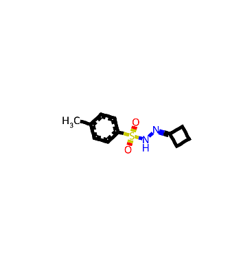 Cc1ccc(S(=O)(=O)NN=C2CCC2)cc1